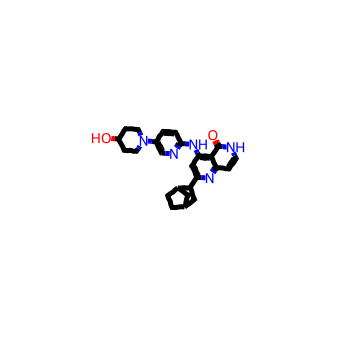 O=c1[nH]ccc2nc(C3CC4CCC3C4)cc(Nc3ccc(N4CCC(O)CC4)cn3)c12